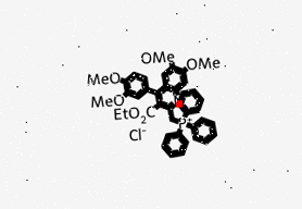 CCOC(=O)c1c(C[P+](c2ccccc2)(c2ccccc2)c2ccccc2)nc2cc(OC)c(OC)cc2c1-c1ccc(OC)c(OC)c1.[Cl-]